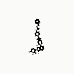 O=C1CCC(N2C(=O)c3cccc(N4CCC5(CC4)CC(N4CCC(NC(=O)OCc6ccccc6)CC4)C5)c3C2=O)C(=O)N1